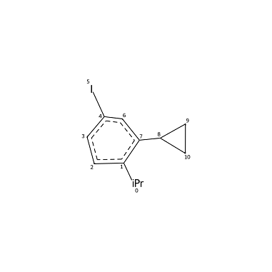 CC(C)c1ccc(I)cc1C1CC1